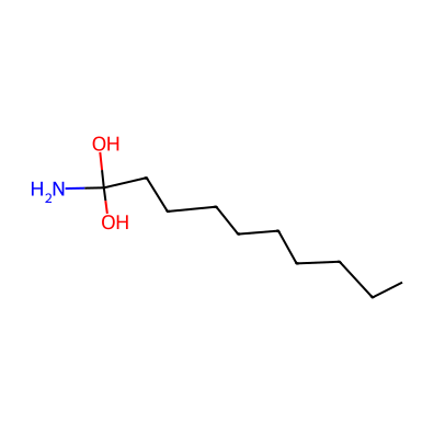 CCCCCCCCCC(N)(O)O